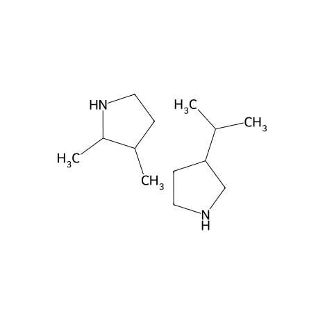 CC(C)C1CCNC1.CC1CCNC1C